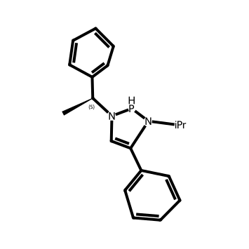 CC(C)N1PN([C@@H](C)c2ccccc2)C=C1c1ccccc1